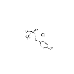 CC[N+](C)(C)CCc1ccc(O)cc1.[Cl-]